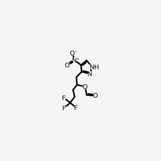 O=COC(CCC(F)(F)F)Cc1n[nH]cc1[N+](=O)[O-]